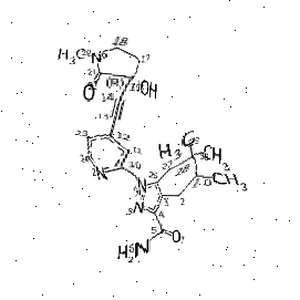 CC1Cc2c(C(N)=O)nn(-c3cc(C#C[C@]4(O)CCN(C)C4=O)ccn3)c2CC1(C)C